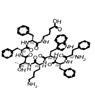 C[C@@H](O)[C@H](NC(=O)[C@H](CCCCN)NC(=O)[C@@H](Cc1c[nH]c2ccccc12)NC(=O)[C@H](Cc1ccccc1)NC(=O)[C@@H](N)Cc1ccccc1)C(=O)N[C@@H](Cc1ccccc1)C(=O)N[C@@H](Cc1ccccc1)C(=O)NCCCC(=O)O